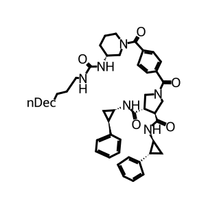 CCCCCCCCCCCCCNC(=O)N[C@@H]1CCCN(C(=O)c2ccc(C(=O)N3C[C@@H](C(=O)N[C@H]4C[C@@H]4c4ccccc4)[C@H](C(=O)N[C@H]4C[C@@H]4c4ccccc4)C3)cc2)C1